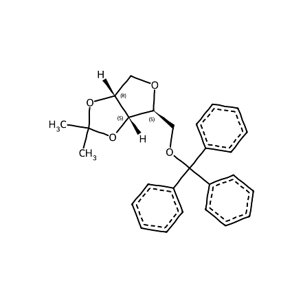 CC1(C)O[C@H]2[C@H](COC(c3ccccc3)(c3ccccc3)c3ccccc3)OC[C@H]2O1